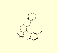 Fc1ccc(F)c(C2c3nnnn3CCN2Cc2ccccc2)c1